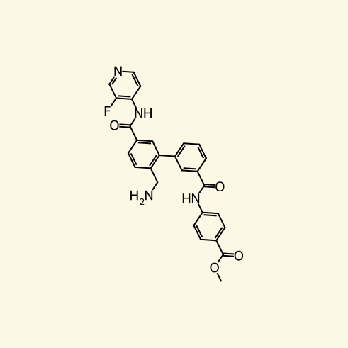 COC(=O)c1ccc(NC(=O)c2cccc(-c3cc(C(=O)Nc4ccncc4F)ccc3CN)c2)cc1